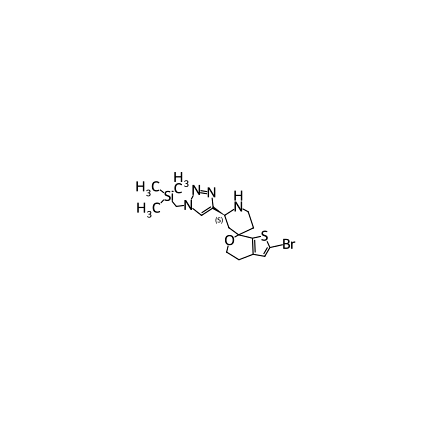 C[Si](C)(C)Cn1cc([C@@H]2CC3(CCN2)OCCc2cc(Br)sc23)nn1